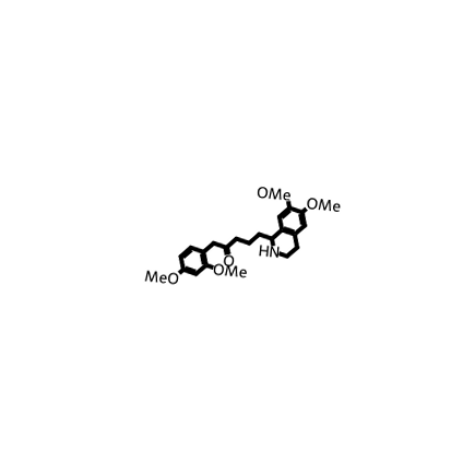 COc1ccc(CC(=O)CCCC2NCCc3cc(OC)c(OC)cc32)c(OC)c1